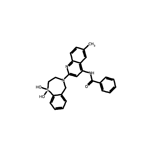 Cc1ccc2nc(N3CCS(O)(O)c4ccccc4C3)cc(NC(=O)c3ccccc3)c2c1